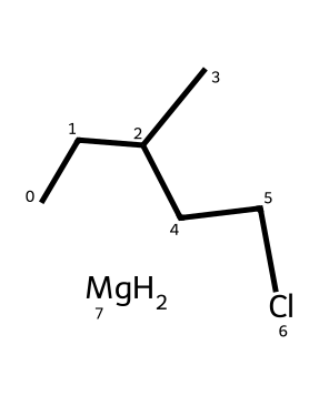 CCC(C)CCCl.[MgH2]